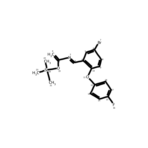 C=C(/N=C/c1cc(Br)ccc1Oc1ccc(F)cc1)O[Si](C)(C)C